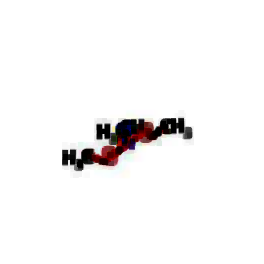 CCCCCC/C=C\COC(=O)CCCCCCCN(CCCc1cccc(C(=O)OC/C=C\CCCCCC)c1)C(=O)SCCN(C)C